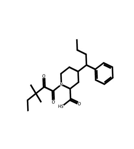 CCCC(c1ccccc1)C1CCN(C(=O)C(=O)C(C)(C)CC)C(C(=O)S)C1